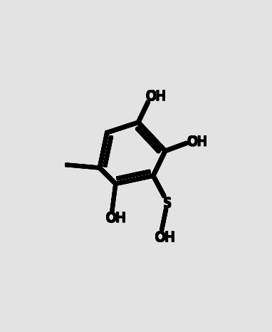 Cc1cc(O)c(O)c(SO)c1O